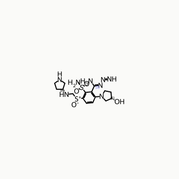 N=N/N=C(\N)c1c(N2CC[C@H](O)C2)ccc([S+]([O-])CN[C@@H]2CCNC2)c1S(N)(=O)=O